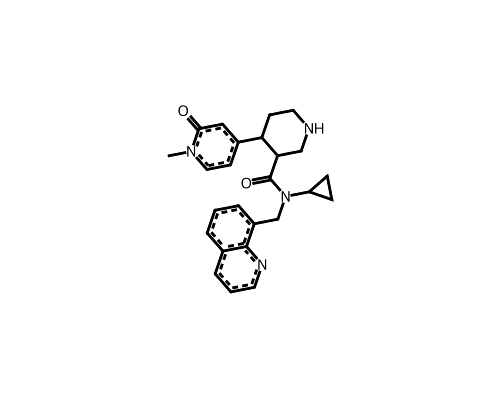 Cn1ccc(C2CCNCC2C(=O)N(Cc2cccc3cccnc23)C2CC2)cc1=O